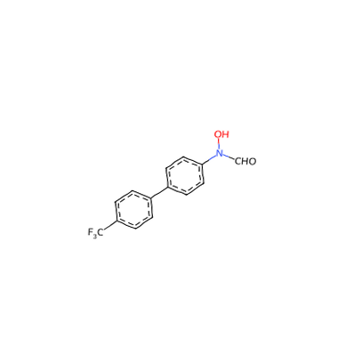 O=CN(O)c1ccc(-c2ccc(C(F)(F)F)cc2)cc1